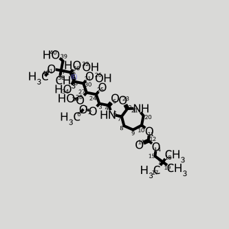 COOC(C(=O)NC1CCC(OC(=O)OCC(C)(C)C)CNC1=O)C(OO)C(OO)C(OO)/C(O)=C(\O)C(C)(CO)OC